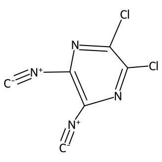 [C-]#[N+]c1nc(Cl)c(Cl)nc1[N+]#[C-]